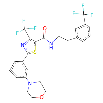 O=C(NCCc1cccc(C(F)(F)F)c1)c1sc(-c2cccc(N3CCOCC3)c2)nc1C(F)(F)F